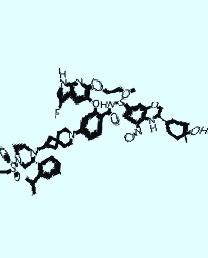 COCCOc1nc2[nH]cc(F)c2cc1Oc1cc(N2CCC3(CC2)CC(N2CCN(S(C)(=O)=O)C[C@H]2c2ccccc2C(C)C)C3)ccc1C(=O)NSc1cc(N=O)c2c(c1)OCC([C@H]1CC[C@](C)(O)CC1)N2